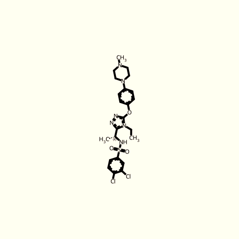 CCn1c(Oc2ccc(N3CCN(C)CC3)cc2)nnc1[C@@H](C)NS(=O)(=O)c1ccc(Cl)c(Cl)c1